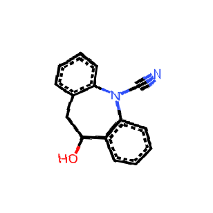 N#CN1c2ccccc2CC(O)c2ccccc21